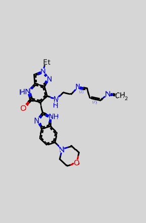 C=N/C=C\C=N/CCNc1c(-c2nc3ccc(N4CCOCC4)cc3[nH]2)c(=O)[nH]c2cn(CC)nc12